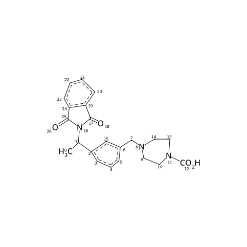 CC(c1cccc(CN2CCN(C(=O)O)CC2)c1)N1C(=O)c2ccccc2C1=O